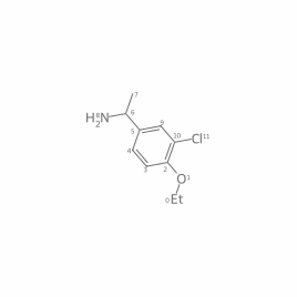 CCOc1ccc(C(C)N)cc1Cl